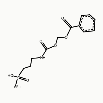 CCCCP(=O)(O)CCCNC(=O)OCOC(=O)c1ccccc1